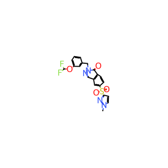 Cn1ccc(S(=O)(=O)c2ccc3c(=O)n(Cc4cccc(OC(F)F)c4)ncc3c2)n1